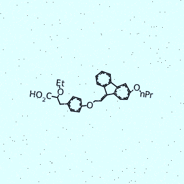 CCCOc1ccc2c(c1)-c1ccccc1C2=CCOc1ccc(CC(OCC)C(=O)O)cc1